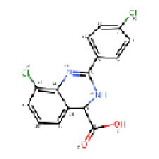 O=C(O)C1NC(c2ccc(Cl)cc2)=Nc2c(Cl)cccc21